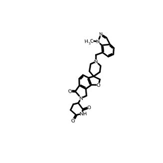 Cn1ncc2cccc(CN3CCC4(CC3)COc3c4ccc4c3CN(C3CCC(=O)NC3=O)C4=O)c21